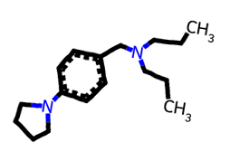 CCCN(CCC)Cc1ccc(N2CCCC2)cc1